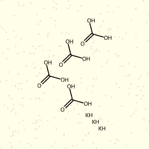 O=C(O)O.O=C(O)O.O=C(O)O.O=C(O)O.[KH].[KH].[KH]